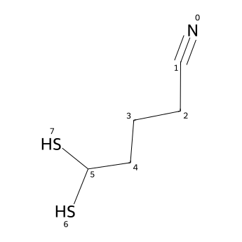 N#CCCCC(S)S